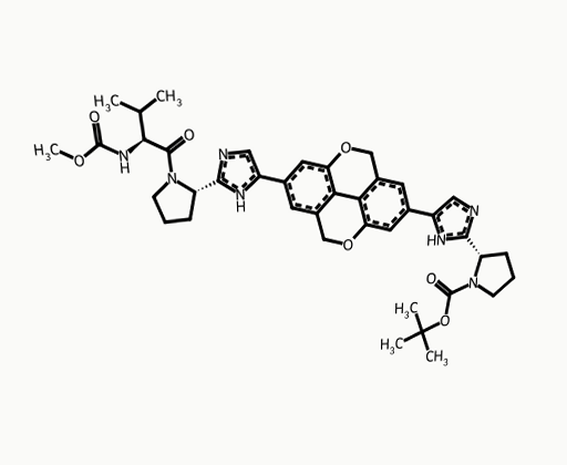 COC(=O)N[C@H](C(=O)N1CCC[C@H]1c1ncc(-c2cc3c4c(c2)OCc2cc(-c5cnc([C@@H]6CCCN6C(=O)OC(C)(C)C)[nH]5)cc(c2-4)OC3)[nH]1)C(C)C